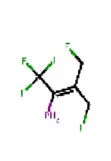 FCC(CF)=C(P)C(F)(F)F